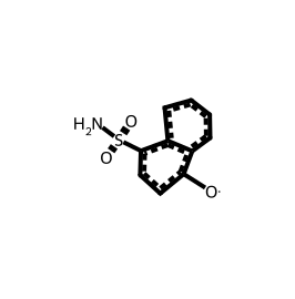 NS(=O)(=O)c1ccc([O])c2ccccc12